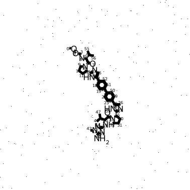 COO/C=N/[C@H](C(=O)N1CCC[C@H]1c1ncc(-c2ccc(-c3ccc(-c4cnc([C@@H]5CCCN5C(=O)[C@@H](Nc5nc(N)n(C)n5)C(C)C)[nH]4)cc3)cc2)[nH]1)C(C)C